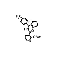 COc1ncccc1C(=O)NC(c1ccc(C(F)(F)F)cc1)c1ncccc1C(F)(F)F